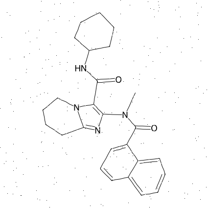 CN(C(=O)c1cccc2ccccc12)c1nc2n(c1C(=O)NC1CCCCC1)CCCC2